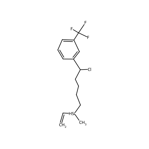 C=C[SiH](C)CCCCC(Cl)c1cccc(C(F)(F)F)c1